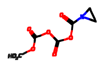 O=C(O)OC(=O)OC(=O)OC(=O)N1CC1